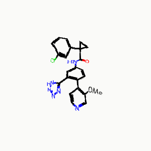 COc1cnccc1-c1ccc(NC(=O)C2(c3cccc(Cl)c3)CC2)cc1-c1nnn[nH]1